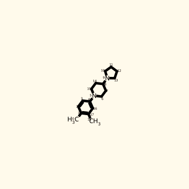 Cc1ccc(N2CCC(N3CCCC3)CC2)cc1C